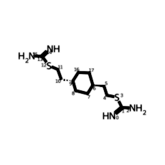 N=C(N)SCC[C@H]1CC[C@H](CCSC(=N)N)CC1